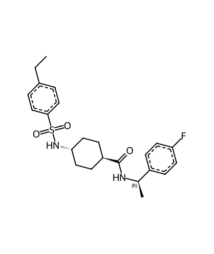 CCc1ccc(S(=O)(=O)N[C@H]2CC[C@H](C(=O)N[C@H](C)c3ccc(F)cc3)CC2)cc1